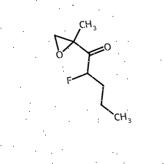 CCCC(F)C(=O)C1(C)CO1